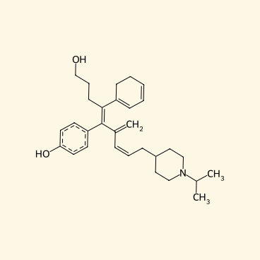 C=C(/C=C\CC1CCN(C(C)C)CC1)/C(=C(/CCCO)C1=CC=CCC1)c1ccc(O)cc1